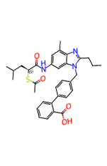 CCCc1nc2c(C)cc(NC(=O)[C@H](CC(C)C)SC(C)=O)cc2n1Cc1ccc(-c2ccccc2C(=O)O)cc1